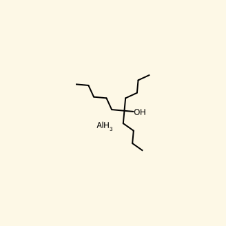 CCCCCC(O)(CCCC)CCCC.[AlH3]